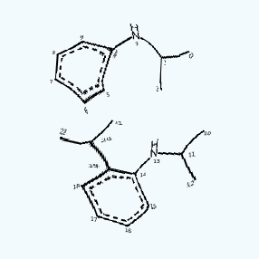 CC(C)Nc1ccccc1.CC(C)Nc1ccccc1C(C)C